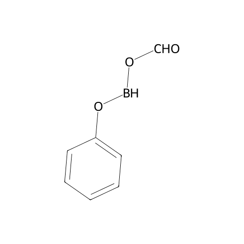 O=COBOc1ccccc1